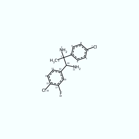 CC(N)(c1ccc(Cl)cc1)C(N)c1ccc(Cl)c(F)c1